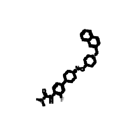 CN(C)C(=O)Nc1ccc(C2CCC(=NOC3CCN(Cc4ccc5ccccc5c4)CC3)CC2)cc1F